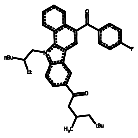 CCCCC(CC)Cn1c2ccc(C(=O)CC(C)CC(C)(C)C)cc2c2cc(C(=O)c3ccc(F)cc3)c3ccccc3c21